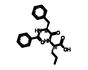 CCC[C@H](NC(=O)[C@H](Cc1ccccc1)NC(=O)c1ccccc1)C(=O)O